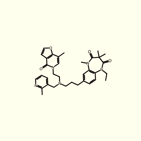 CCN1C(=O)C(C)(C)C(=O)N(C)c2cc(CCCN(CCn3cc(C)c4occc4c3=O)Cc3cccnc3C)ccc21